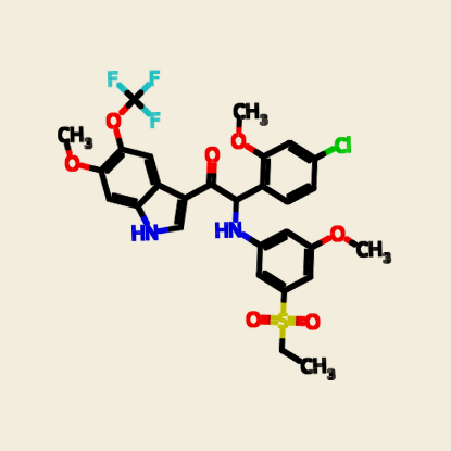 CCS(=O)(=O)c1cc(NC(C(=O)c2c[nH]c3cc(OC)c(OC(F)(F)F)cc23)c2ccc(Cl)cc2OC)cc(OC)c1